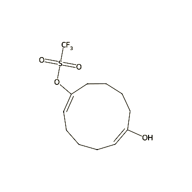 O=S(=O)(O/C1=C/CCC/C=C(/O)CCCC1)C(F)(F)F